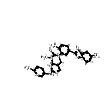 Cc1ccc(Nc2ncc3c(n2)N(C)C(=O)N(c2cc(-c4nc5ccc(C(F)(F)F)cc5[nH]4)ccc2C)C3)cn1